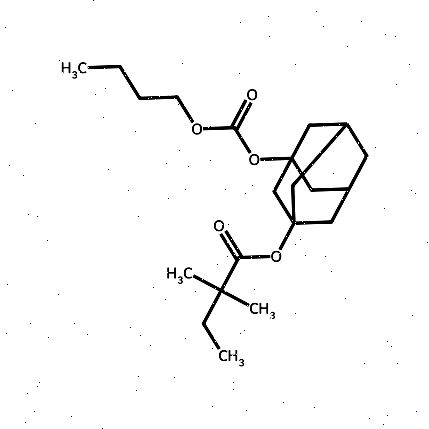 CCCCOC(=O)OC12CC3CC(C1)CC(OC(=O)C(C)(C)CC)(C3)C2